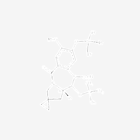 COc1cc2c(cc1O[Si](C(C)C)(C(C)C)C(C)C)N(C(=O)O)C(O[Si](C)(C)C(C)(C)C)[C@@H]1CC3(CC3)CN1C2=O